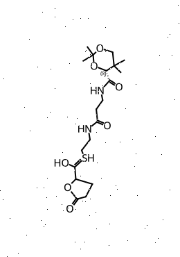 CC1(C)OCC(C)(C)[C@H](C(=O)NCCC(=O)NCC[SH]=C(O)C2CCC(=O)O2)O1